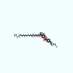 CCCCCCCCCCCCCCCCOC(C)c1ccc(OC(=O)c2ccc(CCC)cc2)cc1